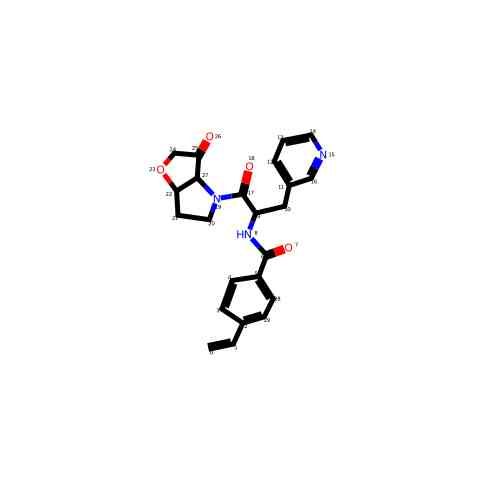 C=Cc1ccc(C(=O)NC(Cc2cccnc2)C(=O)N2CCC3OCC(=O)C32)cc1